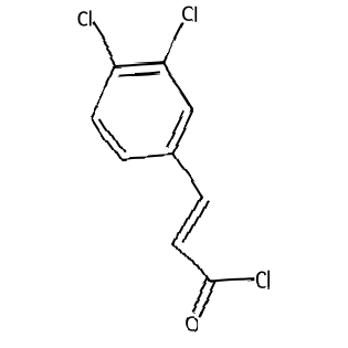 O=C(Cl)C=Cc1ccc(Cl)c(Cl)c1